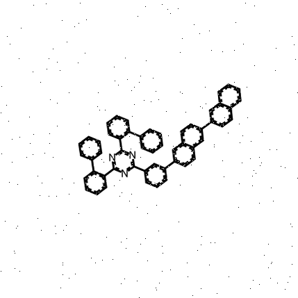 c1ccc(-c2ccccc2-c2nc(-c3cccc(-c4ccc5cc(-c6ccc7ccccc7c6)ccc5c4)c3)nc(-c3ccccc3-c3ccccc3)n2)cc1